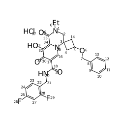 CCN1CC2(CC(OCc3ccccc3)C2)n2cc(C(=O)NCc3ccc(F)cc3F)c(=O)c(O)c2C1=O.Cl